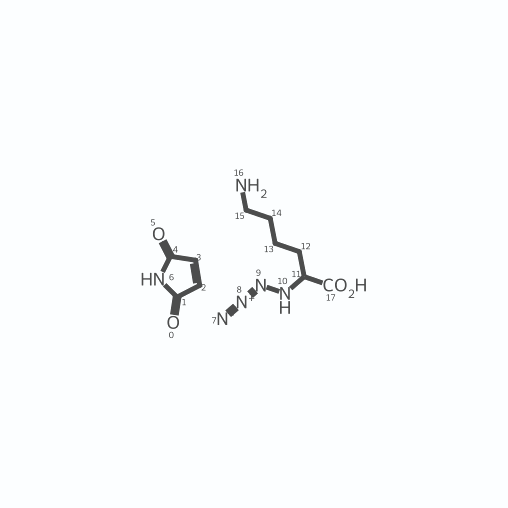 O=C1C=CC(=O)N1.[N-]=[N+]=NNC(CCCCN)C(=O)O